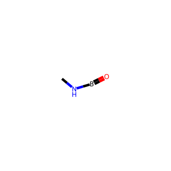 CNB=O